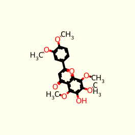 COc1ccc(-c2cc(=O)c3c(OC)c(O)c(OC)c(OC)c3o2)cc1OC